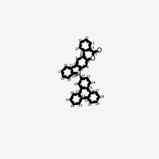 O=c1oc2cc3c(cc2c2ccccc12)c1ccccc1n3-c1ccc2c3ccccc3c3ccccc3c2c1